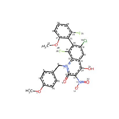 COc1ccc(Cn2c(=O)c([N+](=O)[O-])c(O)c3cc(Cl)c(-c4c(F)cccc4OC)c(F)c32)cc1